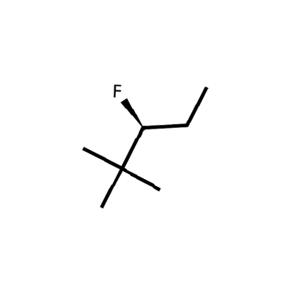 CC[C@H](F)C(C)(C)C